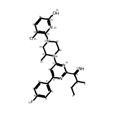 CCC(C)C(=N)c1nc(-c2ccc(F)cc2)cc(N2CCN(c3nc(O)ccc3Cl)CC2C)n1